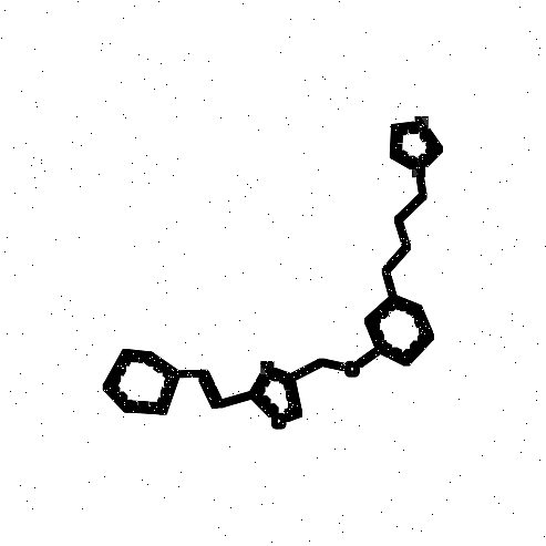 C(=Cc1nc(COc2cccc(CCCCn3ccnc3)c2)co1)c1ccccc1